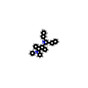 c1ccc(-n2c3ccccc3c3c4c5ccccc5c(-c5cc(-c6ccc7ccccc7c6)cc(-c6ccc7ccccc7c6)n5)cc4c4ccccc4c32)cc1